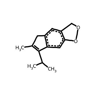 CC1=C(C(C)C)c2cc3c(cc2C1)COO3